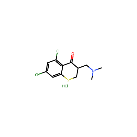 CN(C)CC1CSc2cc(Cl)cc(Cl)c2C1=O.Cl